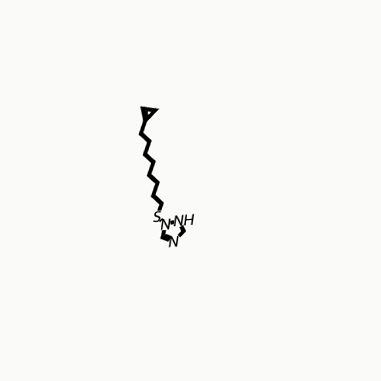 C1=NCNN1SCCCCCCCCC1=CC1